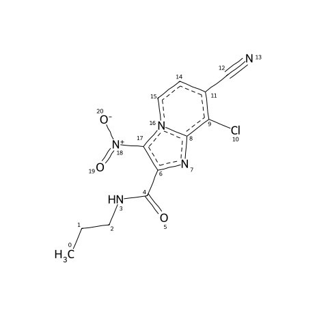 CCCNC(=O)c1nc2c(Cl)c(C#N)ccn2c1[N+](=O)[O-]